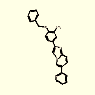 Cc1cc(-c2cn3cc(-c4ccccc4)ccc3n2)ccc1OCc1ccccc1